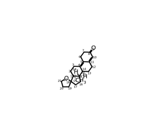 C[C@]12CCC3=C4CCC(=O)C=C4CC[C@H]3[C@@H]1CCC21CCCO1